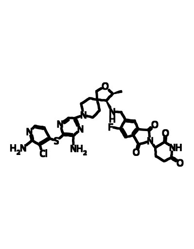 C[C@@H]1OCC2(CCN(c3cnc(Sc4ccnc(N)c4Cl)c(N)n3)CC2)[C@@H]1NCc1cc2c(cc1F)C(=O)N(C1CCC(=O)NC1=O)C2=O